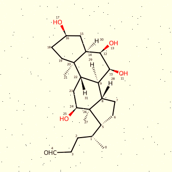 C[C@H](CCC=O)[C@H]1CC[C@H]2[C@@H]3[C@H](O)[C@H](O)[C@@H]4C[C@H](O)CC[C@]4(C)[C@H]3C[C@H](O)[C@]12C